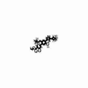 CCOC(=O)c1cn2c(cc1=O)-c1cc(OC)c(-c3cnc(C4CC(F)(F)C4)s3)cc1CC2C(C)(C)C